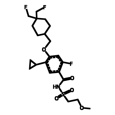 COCCS(=O)(=O)NC(=O)c1cc(C2CC2)c(OCC2CCC(CF)(CF)CC2)cc1F